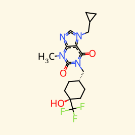 Cn1c(=O)n(C[C@H]2CC[C@@](O)(C(F)(F)F)CC2)c(=O)c2c1ncn2CC1CC1